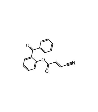 N#CC=CC(=O)Oc1ccccc1C(=O)c1ccccc1